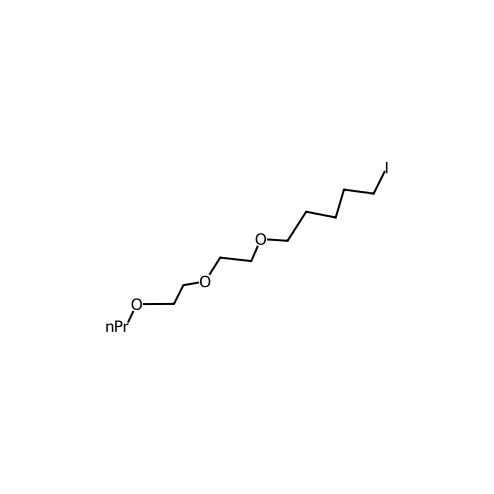 CCCOCCOCCOCCCCCI